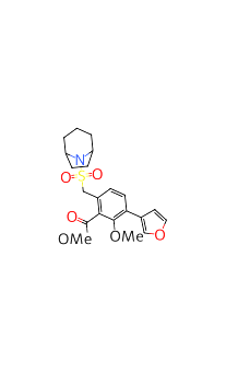 COC(=O)c1c(CS(=O)(=O)N2C3CCCC2CC3)ccc(-c2ccoc2)c1OC